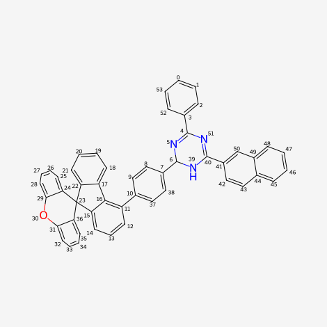 c1ccc(C2=NC(c3ccc(-c4cccc5c4-c4ccccc4C54c5ccccc5Oc5ccccc54)cc3)NC(c3ccc4ccccc4c3)=N2)cc1